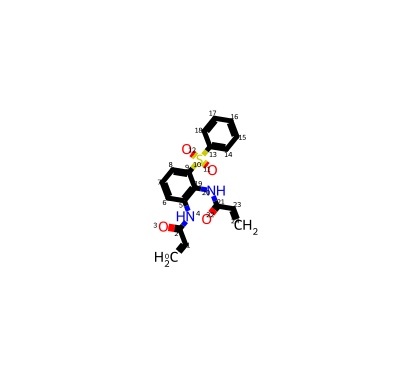 C=CC(=O)Nc1cccc(S(=O)(=O)c2ccccc2)c1NC(=O)C=C